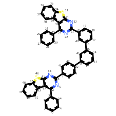 c1ccc(-c2nc(-c3ccc(-c4cccc(-c5cccc(-c6nc(-c7ccccc7)c7c(n6)sc6ccccc67)c5)c4)cc3)nc3sc4ccccc4c23)cc1